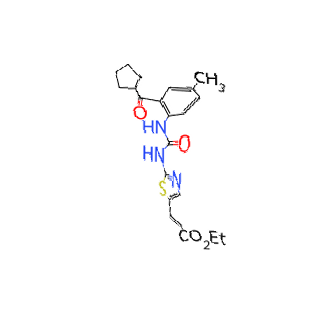 CCOC(=O)/C=C/c1cnc(NC(=O)Nc2ccc(C)cc2C(=O)C2CCCC2)s1